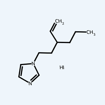 C=CC(CCC)CCn1ccnc1.I